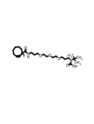 CC(C)(C)N(CCCOCCOCCOCCCNC(=O)C1(F)C#CCCCCC1)C(=O)O